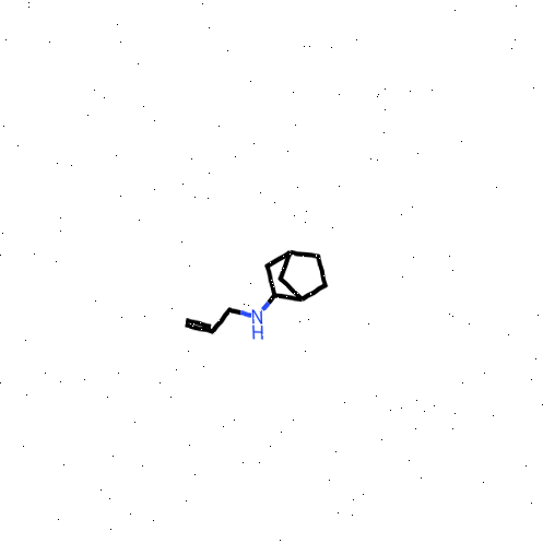 C=CCNC1CC2CCC1C2